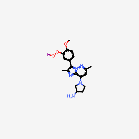 COc1ccc(-c2c(C)nc3c(N4CCC(N)C4)cc(C)nn23)cc1OOI